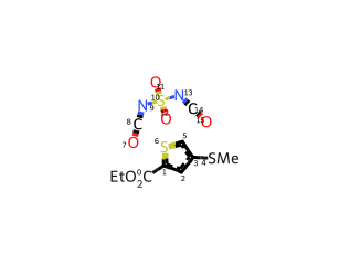 CCOC(=O)c1cc(SC)cs1.O=C=NS(=O)(=O)N=C=O